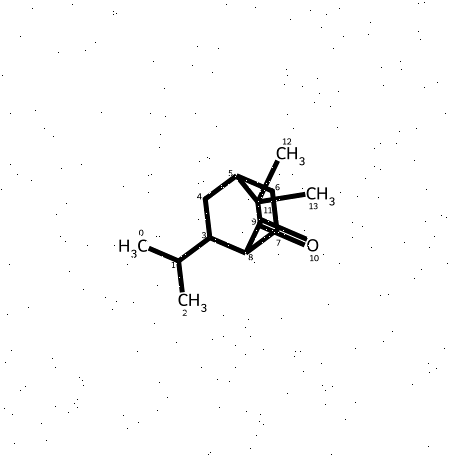 CC(C)C1CC2CCC1C(=O)C2(C)C